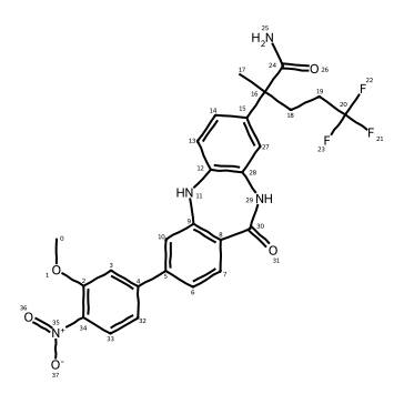 COc1cc(-c2ccc3c(c2)Nc2ccc(C(C)(CCC(F)(F)F)C(N)=O)cc2NC3=O)ccc1[N+](=O)[O-]